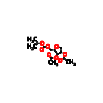 CC(=O)O[C@@H]1[C@@H](OC(C)=O)CO[C@@H]1COC(=O)OC(C)C